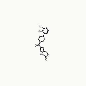 Cc1cccc(C2CCN(C(=O)C3CC4(COC(=O)N4)C3)CC2)c1F